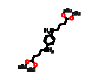 CCCCOC(CCC[SiH2]c1ccc([SiH2]CCCC(OCCCC)OCCCC)cc1)OCCCC